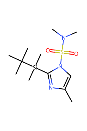 Cc1cn(S(=O)(=O)N(C)C)c([Si](C)(C)C(C)(C)C)n1